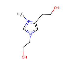 C[n+]1cn(CCO)cc1CCO